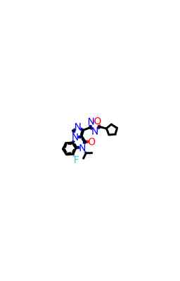 CC(C)n1c(=O)c2c(-c3noc(C4CCCC4)n3)ncn2c2cccc(F)c21